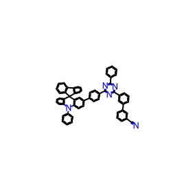 N#Cc1cccc(-c2cccc(-c3nc(-c4ccccc4)nc(-c4ccc(-c5ccc6c(c5)C5(c7ccccc7-c7ccccc75)c5ccccc5N6c5ccccc5)cc4)n3)c2)c1